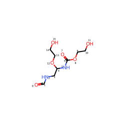 O=CNCC(NC(=O)OCCO)OCCO